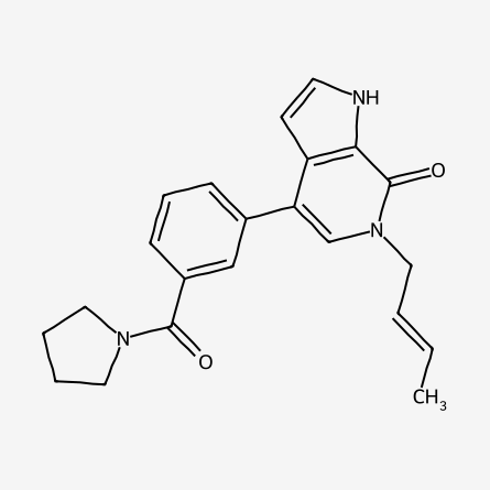 CC=CCn1cc(-c2cccc(C(=O)N3CCCC3)c2)c2cc[nH]c2c1=O